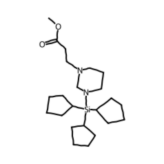 COC(=O)CCN1CCCN([Si](C2CCCC2)(C2CCCC2)C2CCCC2)C1